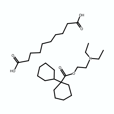 CCN(CC)CCOC(=O)C1(C2CCCCC2)CCCCC1.O=C(O)CCCCCCCCC(=O)O